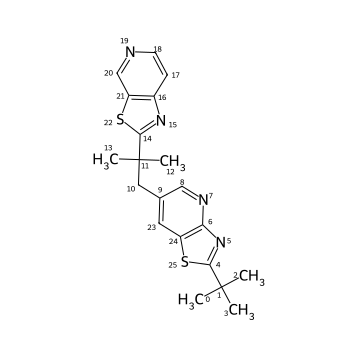 CC(C)(C)c1nc2ncc(CC(C)(C)c3nc4ccncc4s3)cc2s1